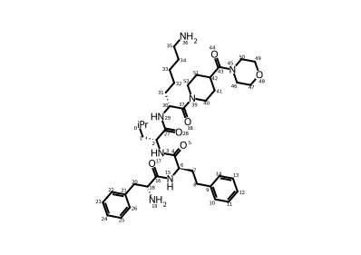 CC(C)C[C@@H](NC(=O)[C@@H](CCc1ccccc1)NC(=O)[C@H](N)Cc1ccccc1)C(=O)N[C@H](CCCCCN)C(=O)N1CCC(C(=O)N2CCOCC2)CC1